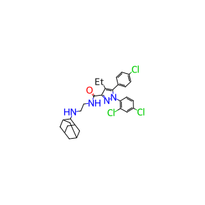 CCc1c(C(=O)NCCNC2C3CC4CC(C3)CC2C4)nn(-c2ccc(Cl)cc2Cl)c1-c1ccc(Cl)cc1